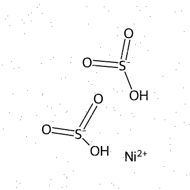 O=[S-](=O)O.O=[S-](=O)O.[Ni+2]